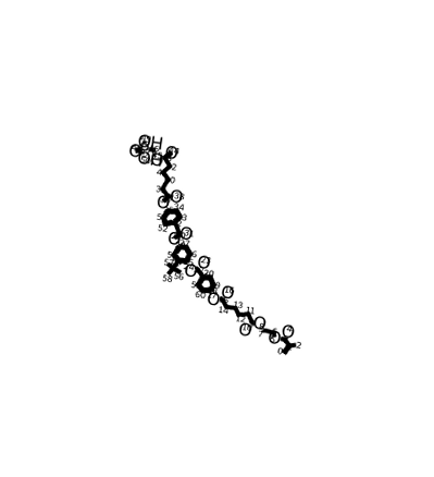 C=C(C)C(=O)OCCOC(=O)CCCCC(=O)Oc1ccc(C(=O)Oc2ccc(OC(=O)c3ccc(OC(=O)CCCCC(=O)OCP(=O)(O)O)cc3)cc2C(C)(C)C)cc1